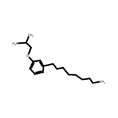 CCCCCCCCCc1cccc(OCC(C)N)c1